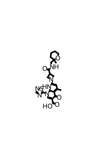 CC1=C2C(=O)C(C(=O)O)=CN(c3ncns3)C2NC(N2CC(C(=O)NCC3(C)CCCCO3)C2)=C1